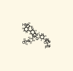 O=c1n(Cc2ccc(-c3nnc(C(F)F)o3)cn2)c2cc(F)c(-c3cccc4[nH]ccc34)cc2n1[C@@H]1CCN(C2COC2)C1